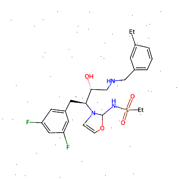 CCc1cccc(CNC[C@@H](O)[C@H](Cc2cc(F)cc(F)c2)N2C=COC2NS(=O)(=O)CC)c1